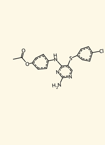 CC(=O)Oc1ccc(Nc2nc(N)ncc2Sc2ccc(Cl)cc2)cc1